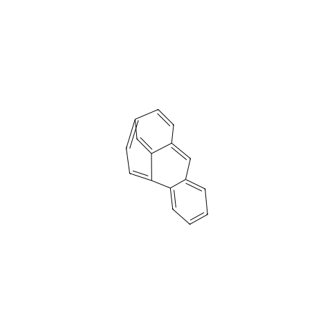 c1ccc2c(c1)cc1ccc3ccc2c1c3